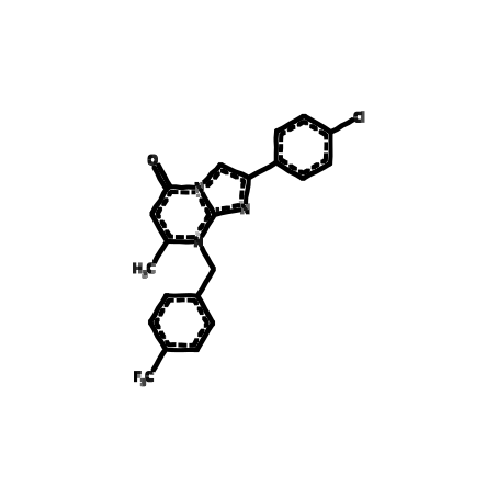 Cc1cc(=O)n2cc(-c3ccc(Cl)cc3)nc2n1Cc1ccc(C(F)(F)F)cc1